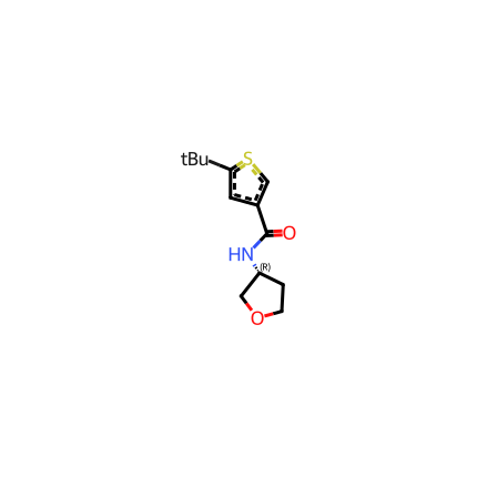 CC(C)(C)c1cc(C(=O)N[C@@H]2CCOC2)cs1